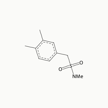 CNS(=O)(=O)Cc1ccc(C)c(C)c1